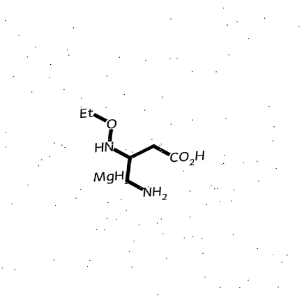 CCONC(CN)CC(=O)O.[MgH2]